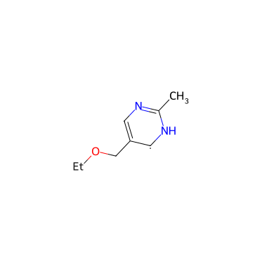 CCOCC1=CN=C(C)N[CH]1